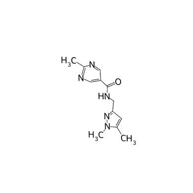 Cc1ncc(C(=O)NCc2cc(C)n(C)n2)cn1